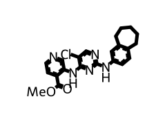 COC(=O)c1ccncc1Nc1nc(Nc2ccc3c(c2)CCCCC3)ncc1Cl